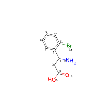 NC(CC(=O)O)c1ccccc1Br